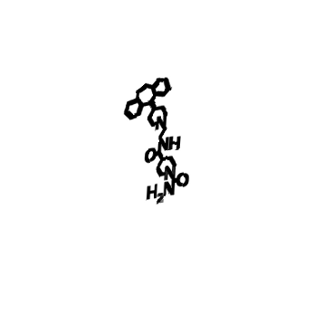 NC(=O)N1CCC(C(=O)NCCN2CCC(=C3c4ccccc4C=Cc4ccccc43)CC2)CC1